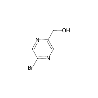 OCc1cnc(Br)cn1